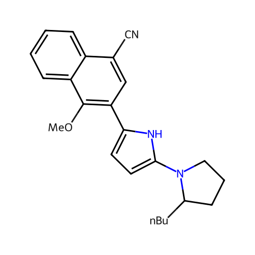 CCCCC1CCCN1c1ccc(-c2cc(C#N)c3ccccc3c2OC)[nH]1